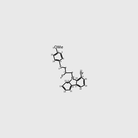 COc1ccc(SCC(F)Cn2c3ccccc3c3cccc(Br)c32)cc1